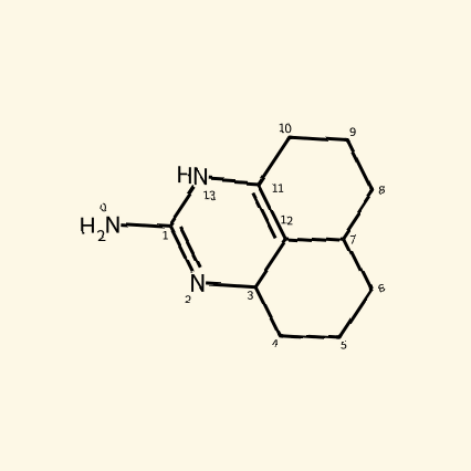 NC1=NC2CCCC3CCCC(=C32)N1